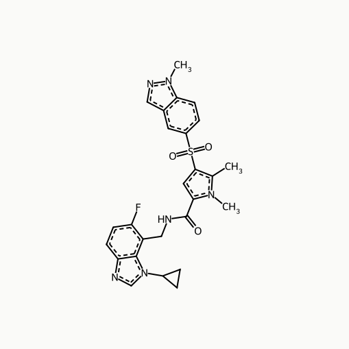 Cc1c(S(=O)(=O)c2ccc3c(cnn3C)c2)cc(C(=O)NCc2c(F)ccc3ncn(C4CC4)c23)n1C